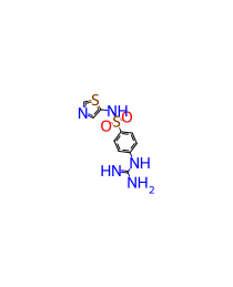 N=C(N)Nc1ccc(S(=O)(=O)Nc2cncs2)cc1